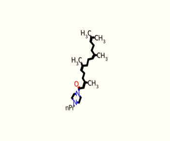 CCCN1CCN(C(=O)C=C(C)CCC=C(C)CCC=C(C)CCC=C(C)C)CC1